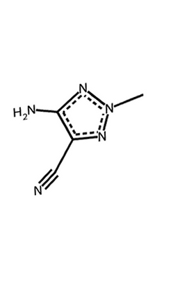 Cn1nc(N)c(C#N)n1